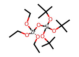 CC[O][Zr]([O]CC)([O]CC)[O][Si](OC(C)(C)C)(OC(C)(C)C)OC(C)(C)C